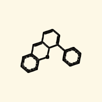 C1=CC2=Cc3ccccc3OC2C(c2ccccc2)=C1